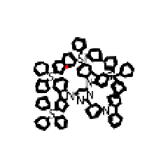 c1ccc([Si](c2ccccc2)(c2ccccc2)c2ccc3c(c2)c2cc([Si](c4ccccc4)(c4ccccc4)c4ccccc4)ccc2n3-c2cc(-n3c4ccc(S(c5ccccc5)(c5ccccc5)c5ccccc5)cc4c4cc(S(c5ccccc5)(c5ccccc5)c5ccccc5)ccc43)nc(-c3cccc(-n4c5ccccc5c5ccccc54)c3)n2)cc1